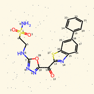 NS(=O)(=O)CCNc1nnc(C(=O)c2nc3ccc(-c4ccccc4)cc3s2)o1